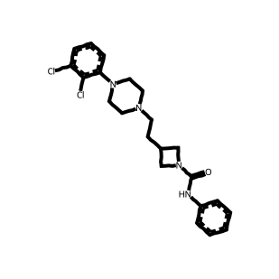 O=C(Nc1ccccc1)N1CC(CCN2CCN(c3cccc(Cl)c3Cl)CC2)C1